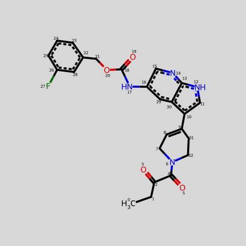 CCC(=O)C(=O)N1CC=C(c2c[nH]c3ncc(NC(=O)OCc4cccc(F)c4)cc23)CC1